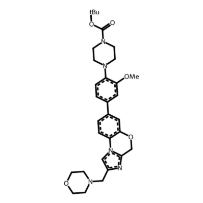 COc1cc(-c2ccc3c(c2)OCc2nc(CN4CCOCC4)cn2-3)ccc1N1CCN(C(=O)OC(C)(C)C)CC1